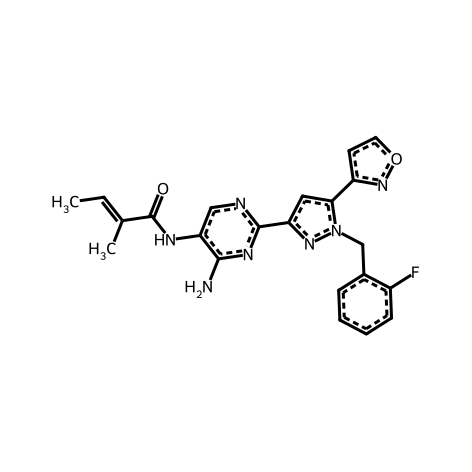 C/C=C(\C)C(=O)Nc1cnc(-c2cc(-c3ccon3)n(Cc3ccccc3F)n2)nc1N